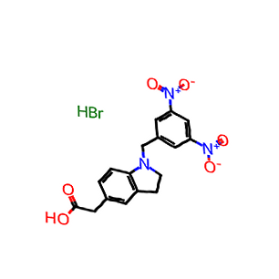 Br.O=C(O)Cc1ccc2c(c1)CCN2Cc1cc([N+](=O)[O-])cc([N+](=O)[O-])c1